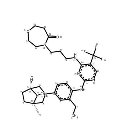 CCc1cc(N2C[C@H]3CC[C@@H](C2)N3C)ccc1Nc1ncc(C(F)(F)F)c(NCCCN2CCOCCC2=O)n1